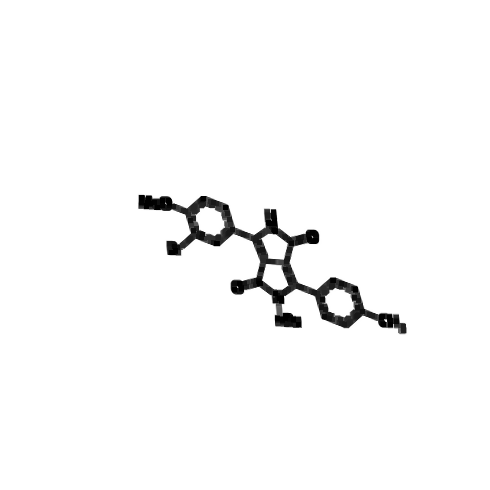 CCCCN1C(=O)C2=C(c3ccc(OC)c(Br)c3)NC(=O)C2=C1c1ccc(C)cc1